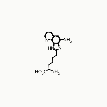 Nc1cc2cccnc2c2[nH]c(CCCCC(N)C(=O)O)nc12